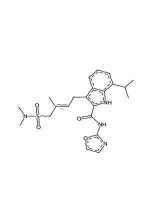 C/C(=C\Cc1c(C(=O)Nc2ncco2)[nH]c2c(C(C)C)cccc12)CS(=O)(=O)N(C)C